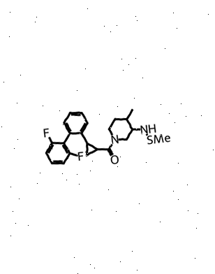 CSNC1CN(C(=O)C2CC2c2ccccc2-c2c(F)cccc2F)CCC1C